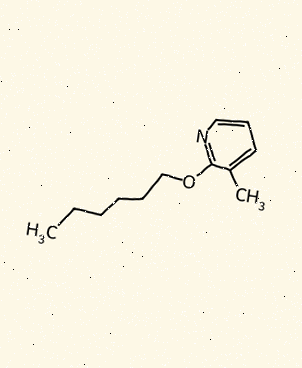 CCCCCCOc1ncccc1C